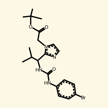 CC(C)C(NC(=O)Nc1ccc(Br)cc1)c1nccn1CC(=O)OC(C)(C)C